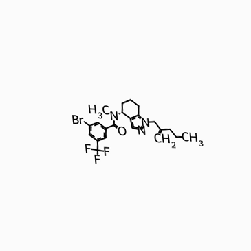 C=C(CCC)Cn1ncc2c1CCC[C@H]2N(C)C(=O)c1cc(Br)cc(C(F)(F)F)c1